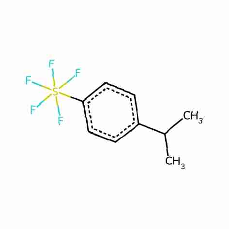 CC(C)c1ccc(S(F)(F)(F)(F)F)cc1